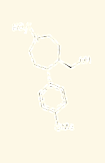 COc1ccc([C@@H]2CCN(C(=O)O)CC[C@H]2CO)cc1